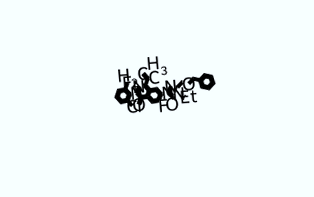 C=C(C)c1nn(-c2c(F)cccc2Cl)c(=O)c2cc(F)c(-n3nc(COCc4ccccc4)n(CC)c3=O)cc12